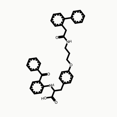 O=C(Cc1ccccc1-c1ccccc1)NCCCOc1ccc(CC(Nc2ccccc2C(=O)c2ccccc2)C(=O)O)cc1